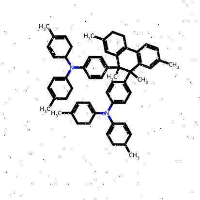 CC1=CCC(N(C2=CC=C(C)CC2)c2ccc(C3(C)C4=C(CCC(C)=C4)c4ccc(C)cc4C3(C)c3ccc(N(C4=CCC(C)C=C4)C4=CC=C(C)CC4)cc3)cc2)C=C1